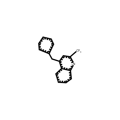 FC(F)(F)c1cc(Cc2ccccc2)c2ccccc2n1